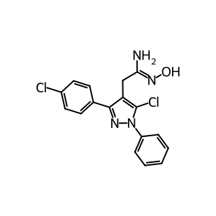 NC(Cc1c(-c2ccc(Cl)cc2)nn(-c2ccccc2)c1Cl)=NO